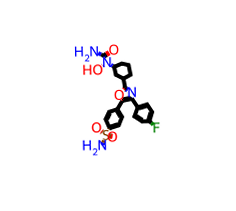 NC(=O)N(O)C1CCCC(c2nc(-c3ccc(F)cc3)c(-c3ccc(S(N)(=O)=O)cc3)o2)C1